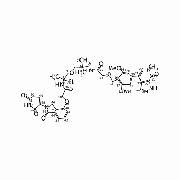 CCC(C)(COCC(C)(C)CNC(=O)COCc1c(OC)cc(-c2cn(C)c(=O)c3[nH]ncc23)cc1OC)NC(=O)COc1cccc2c1CN(C1CCC(=O)NC1=O)C2=O